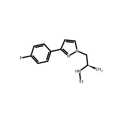 CCN[C@H](C)Cn1ccc(-c2ccc(F)cc2)n1